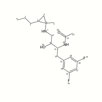 CCCC1CC1(C)NCC(O)C(Cc1cc(F)cc(F)c1)NC(C)=O